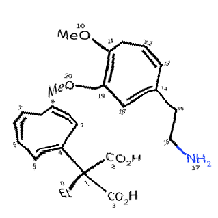 CCC(C(=O)O)(C(=O)O)c1ccccc1.COc1ccc(CCN)cc1OC